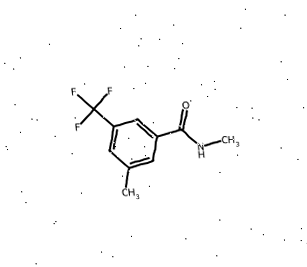 CNC(=O)c1cc(C)cc(C(F)(F)F)c1